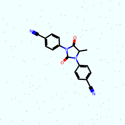 CC1C(=O)N(c2ccc(C#N)cc2)C(=O)N1c1ccc(C#N)cc1